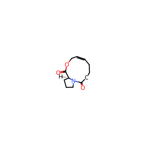 O=C1OC/C=C\CCCC(=O)N2CCC[C@@H]12